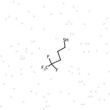 FC(F)(F)C(F)(F)CCCS